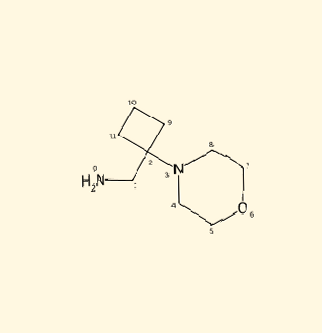 NCC1(N2CCOCC2)CCC1